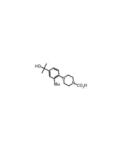 CC(C)(C)c1cc(C(C)(C)O)ccc1N1CCN(C(=O)O)CC1